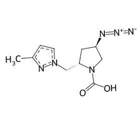 Cc1ccn(C[C@@H]2C[C@@H](N=[N+]=[N-])CN2C(=O)O)n1